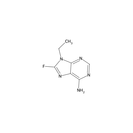 CCn1c(F)nc2c(N)ncnc21